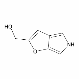 OCc1cc2c[nH]cc2o1